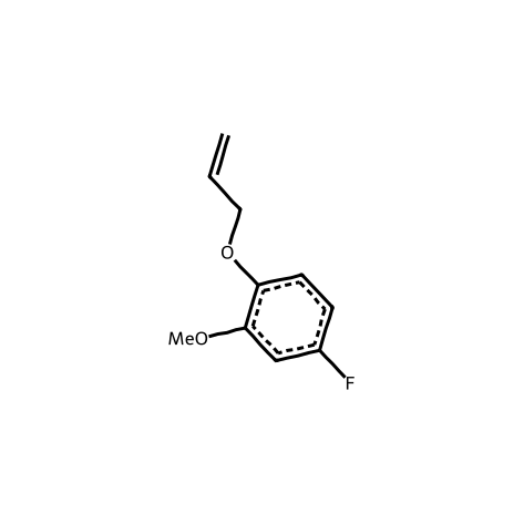 C=CCOc1ccc(F)cc1OC